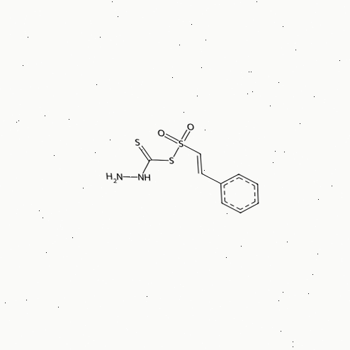 NNC(=S)SS(=O)(=O)C=Cc1ccccc1